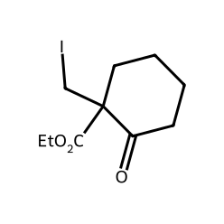 CCOC(=O)C1(CI)CCCCC1=O